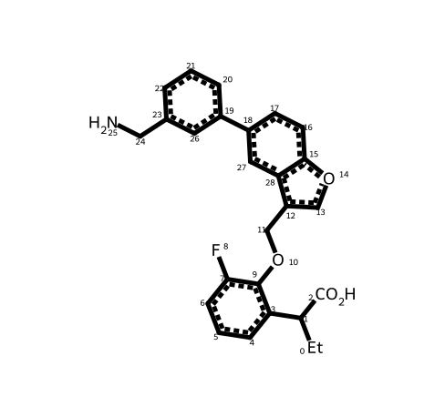 CCC(C(=O)O)c1cccc(F)c1OCc1coc2ccc(-c3cccc(CN)c3)cc12